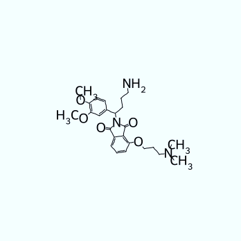 COc1ccc(C(CCCN)N2C(=O)c3cccc(OCCCN(C)C)c3C2=O)cc1OC